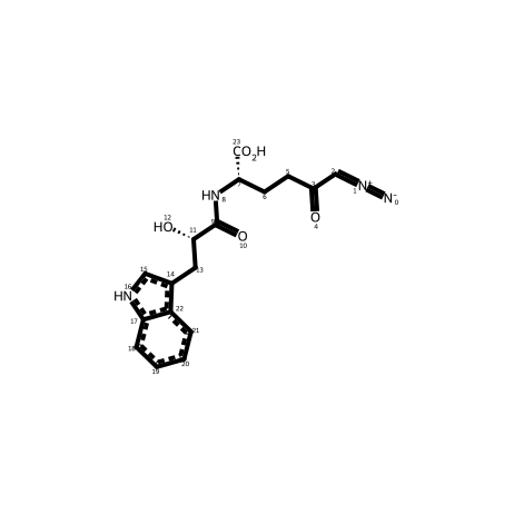 [N-]=[N+]=CC(=O)CC[C@H](NC(=O)[C@@H](O)Cc1c[nH]c2ccccc12)C(=O)O